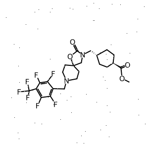 COC(=O)[C@H]1CC[C@H](CN2CC3(CCN(Cc4c(F)c(F)c(C(F)(F)F)c(F)c4F)CC3)OC2=O)CC1